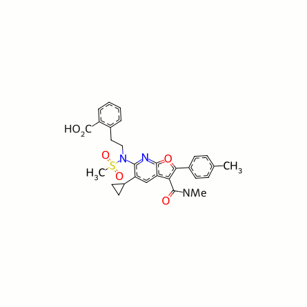 CNC(=O)c1c(-c2ccc(C)cc2)oc2nc(N(CCc3ccccc3C(=O)O)S(C)(=O)=O)c(C3CC3)cc12